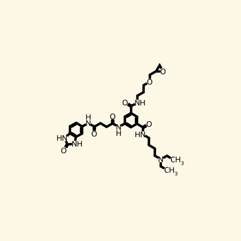 CCN(CC)CCCCNC(=O)c1cc(NC(=O)CCC(=O)Nc2ccc3[nH]c(=O)[nH]c3c2)cc(C(=O)NCCCOCC2CO2)c1